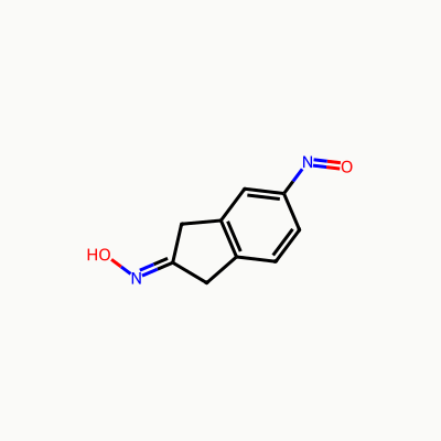 O=Nc1ccc2c(c1)CC(=NO)C2